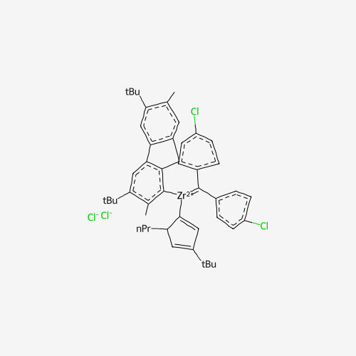 CCCC1C=C(C(C)(C)C)C=[C]1[Zr+2](=[C](c1ccc(Cl)cc1)c1ccc(Cl)cc1)[c]1c(C)c(C(C)(C)C)cc2c1Cc1cc(C)c(C(C)(C)C)cc1-2.[Cl-].[Cl-]